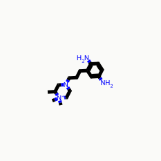 CC1CN(CCCc2cc(N)ccc2N)CC[N+]1(C)C